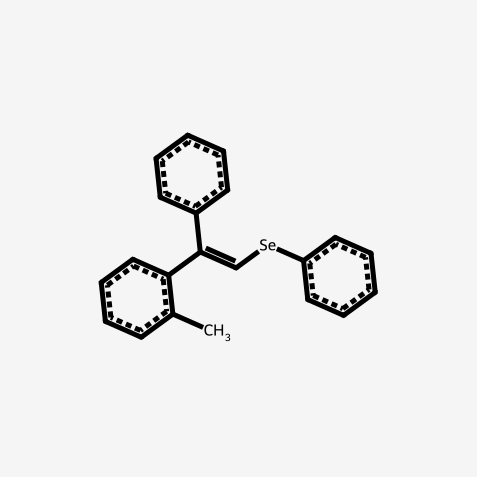 Cc1ccccc1C(=C[Se]c1ccccc1)c1ccccc1